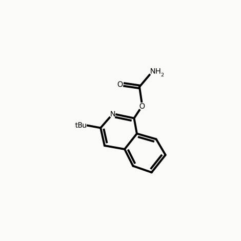 CC(C)(C)c1cc2ccccc2c(OC(N)=O)n1